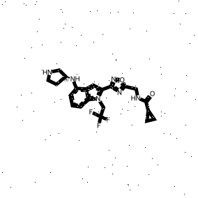 O=C(NCc1nc(-c2cc3c(N[C@@H]4CCNC4)cccc3n2CC(F)(F)F)no1)C1CC1